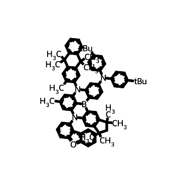 Cc1cc2c3c(c1)N(c1cccc4oc5ccccc5c14)c1cc4c(cc1B3c1ccc(N(c3ccc(C(C)(C)C)cc3)c3ccc(C(C)(C)C)cc3)cc1N2c1cc2c(cc1C)C(C)(C)c1ccccc1C2(C)C)C(C)(C)CC4(C)C